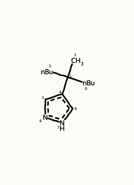 CCCCC(C)(CCCC)c1cn[nH]c1